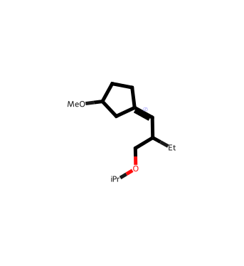 CCC(/C=C1/CCC(OC)C1)COC(C)C